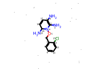 NC1=C(N)N(OCc2ccccc2Cl)C(N)C=C1